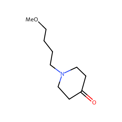 COCCCCN1CCC(=O)CC1